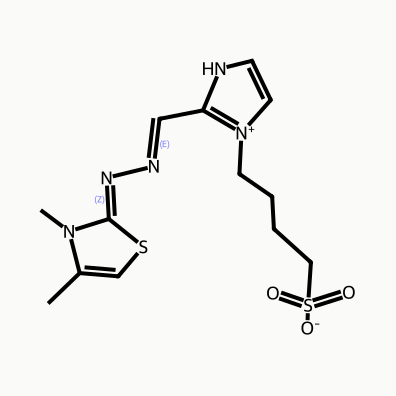 Cc1cs/c(=N\N=C\c2[nH]cc[n+]2CCCCS(=O)(=O)[O-])n1C